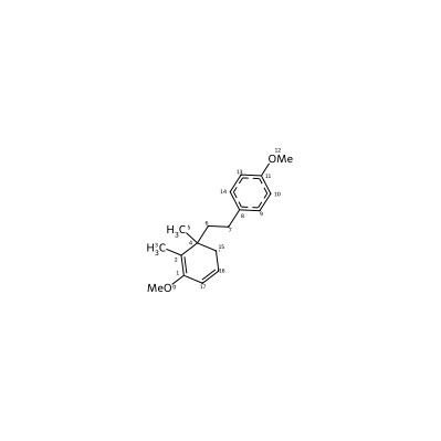 COC1=C(C)C(C)(CCc2ccc(OC)cc2)[CH]C=C1